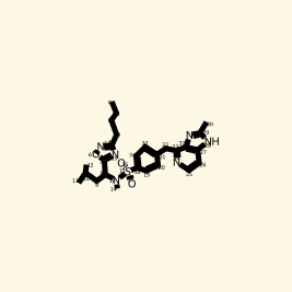 CCCCc1noc(C(CC(C)C)N(C)S(=O)(=O)c2ccc(Cc3nccc4[nH]c(C)nc34)cc2)n1